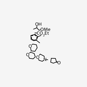 C1CCOCC1.C1CCOCC1.CCOC(C)=O.CN1CCOCC1.COCC(C)O.Cc1ccccc1C.O=C1CCCC1